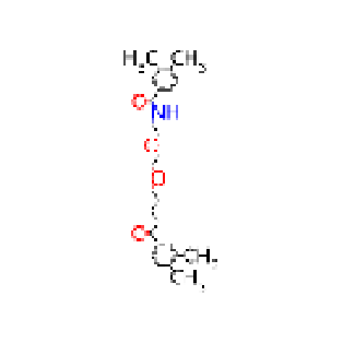 Cc1ccc(C(=O)CCCCOCCOCCNC(=O)c2ccc(C)c(C)c2)cc1C